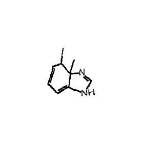 CC12N=CNC1=CC=CC2I